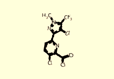 Cn1nc(-c2ccc(Cl)c(C(=O)Cl)n2)c(Cl)c1C(F)(F)F